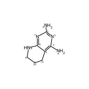 Nc1nc(N)c2c(n1)NC[C]C2